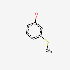 CSc1cccc([O])c1